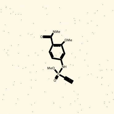 C#CP(=O)(Nc1ccc(C(=O)NC)c(OC)c1)OC